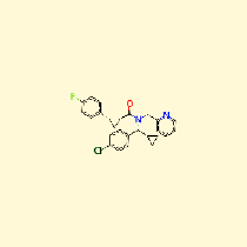 O=C([C@H]1C[C@@H]1c1ccc(F)cc1)N(Cc1ccccn1)[C@@H](c1ccc(Cl)cc1)C1CC1